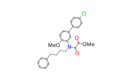 COC(=O)C(=O)N(CCCCc1ccccc1)c1cc(-c2ccc(Cl)cc2)ccc1OC